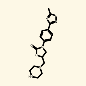 Cc1nc(-c2ccc(N3CC(CN4CCNCC4)OC3=O)cc2)no1